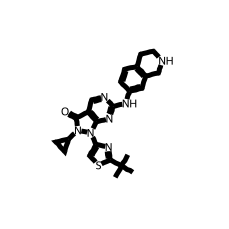 CC(C)(C)c1nc(-n2c3nc(Nc4ccc5c(c4)CNCC5)ncc3c(=O)n2C2CC2)cs1